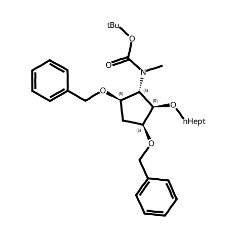 CCCCCCCO[C@@H]1[C@@H](N(C)C(=O)OC(C)(C)C)[C@H](OCc2ccccc2)C[C@@H]1OCc1ccccc1